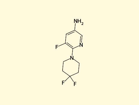 Nc1cnc(N2CCC(F)(F)CC2)c(F)c1